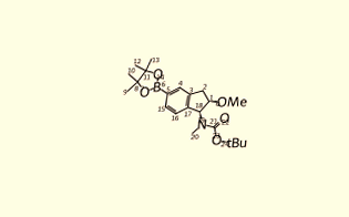 CO[C@@H]1Cc2cc(B3OC(C)(C)C(C)(C)O3)ccc2[C@@H]1N(C)C(=O)OC(C)(C)C